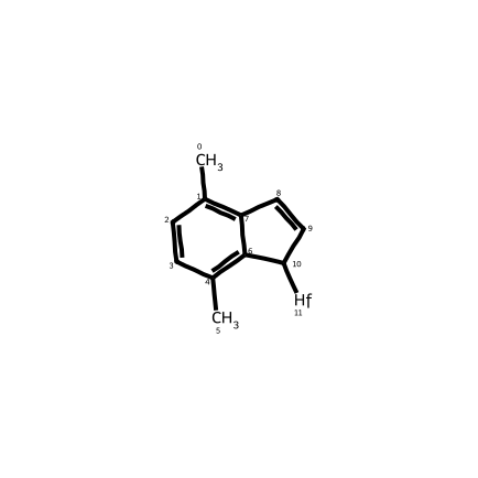 Cc1ccc(C)c2c1C=C[CH]2[Hf]